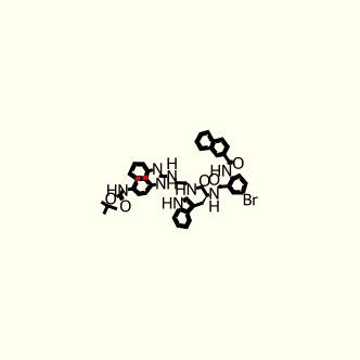 CC(C)(C)OC(=O)Nc1ccc(N/C(=N\c2ccccc2)NCCNC(=O)[C@H](Cc2c[nH]c3ccccc23)NC(=O)c2cc(Br)ccc2NC(=O)c2ccc3ccccc3c2)cc1